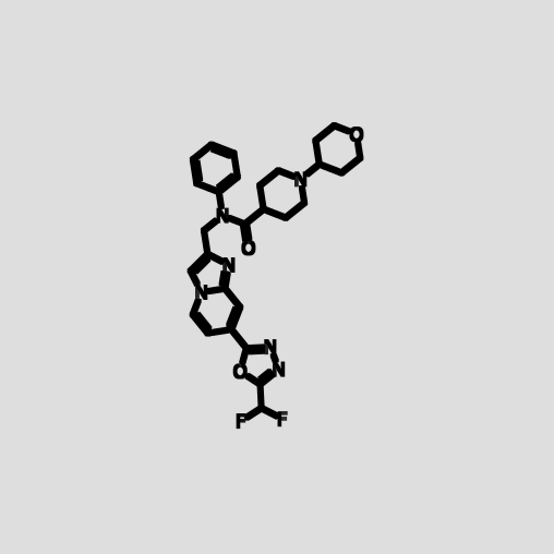 O=C(C1CCN(C2CCOCC2)CC1)N(Cc1cn2ccc(-c3nnc(C(F)F)o3)cc2n1)c1ccccc1